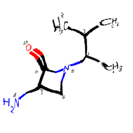 CC(C)C(C)N1CC(N)C1=O